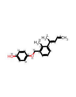 C=C/C=C(\C)c1cccc(COc2ccc(O)cc2)c1C